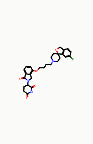 O=C1CCC(N2Cc3c(OCCCCN4CCC5(CC4)OCc4ccc(F)cc45)cccc3C2=O)C(=O)N1